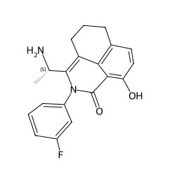 C[C@H](N)c1c2c3c(ccc(O)c3c(=O)n1-c1cccc(F)c1)CCC2